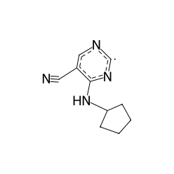 N#Cc1cn[c]nc1NC1CCCC1